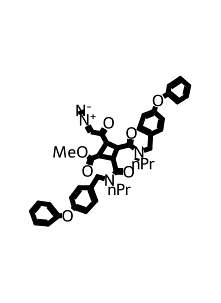 CCCN(Cc1ccc(Oc2ccccc2)cc1)C(=O)C1C(C(=O)C=[N+]=[N-])C(C(=O)OC)C1C(=O)N(CCC)Cc1ccc(Oc2ccccc2)cc1